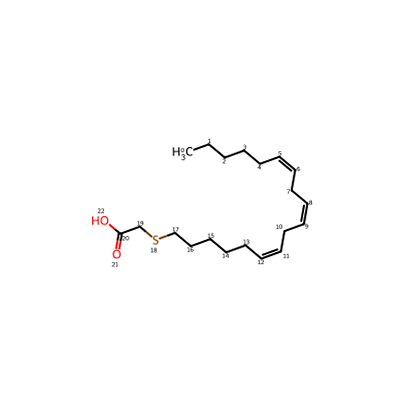 CCCCC/C=C\C/C=C\C/C=C\CCCCCSCC(=O)O